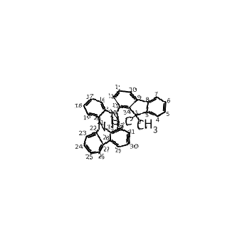 CC1(C)c2ccccc2-c2cccc(Nc3ccccc3-n3c4ccccc4c4ccccc43)c21